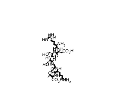 C[C@@H](O)[C@H](NC(=O)[C@H](CCCCN)NC(=O)CNC(=O)[C@H](CO)NC(=O)[C@H](CO)NC(=O)[C@H](CC(=O)O)NC(=O)[C@@H](N)CCCNC(=N)N)C(=O)O